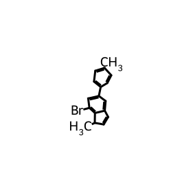 Cc1ccc(-c2cc(Br)c3c(c2)C=CC3C)cc1